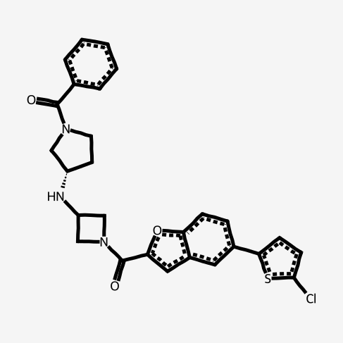 O=C(c1ccccc1)N1CC[C@H](NC2CN(C(=O)c3cc4cc(-c5ccc(Cl)s5)ccc4o3)C2)C1